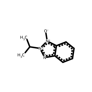 CC(C)n1nc2ccccc2[n+]1[O-]